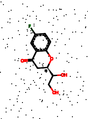 O=C1C[C@@H](C(O)CO)Oc2ccc(F)cc21